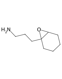 NCCCC12CCCCC1O2